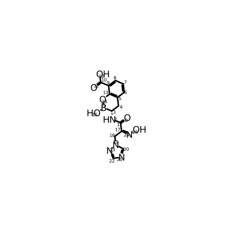 O=C(N[C@H]1Cc2cccc(C(=O)O)c2OB1O)/C(Cn1cncn1)=N\O